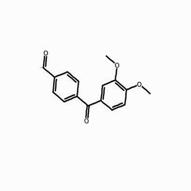 COc1ccc(C(=O)c2ccc([C]=O)cc2)cc1OC